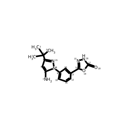 CC(C)(C)c1cc(N)n(-c2cccc(-c3n[nH]c(=O)o3)c2)n1